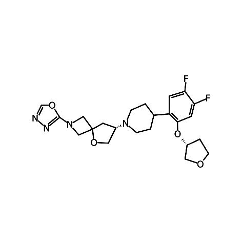 Fc1cc(O[C@@H]2CCOC2)c(C2CCN([C@@H]3COC4(C3)CN(c3nnco3)C4)CC2)cc1F